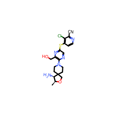 C[C@@H]1OCC2(CCN(c3ncc(Sc4ccnc(C#N)c4Cl)nc3CO)CC2)[C@@H]1N